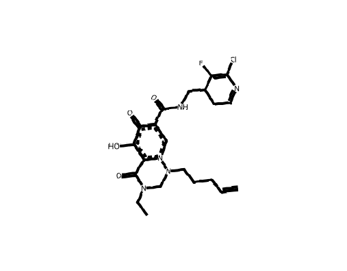 C=CCCCN1CN(CC)C(=O)c2c(O)c(=O)c(C(=O)NCC3CC=NC(Cl)=C3F)cn21